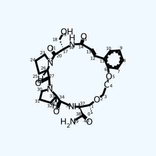 C[C@H]1OCCOc2ccccc2/C=C/C(=O)N[C@@H](CO)C(=O)N2CCC[C@H]2C(=O)N2CCC[C@H]2C(=O)N[C@@H]1C(N)=O